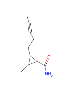 CC#CCCC1C(C)C1C(N)=O